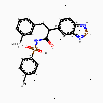 CC(=O)Nc1cccc(CC(C(=O)NS(=O)(=O)c2ccc(C(C)C)cc2)c2ccc3nsnc3c2)c1